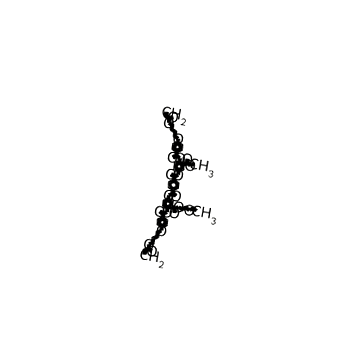 C=CC(=O)OCCCCOc1ccc(C(=O)Oc2ccc(OC(=O)C3CCC(C(=O)Oc4ccc(OC(=O)c5ccc(OCCCCOC(=O)C=C)cc5)c(C(=O)OCCOCC)c4)CC3)cc2C(=O)OC)cc1